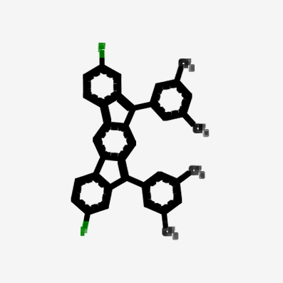 Fc1ccc2c(c1)C(c1cc(C(F)(F)F)cc(C(F)(F)F)c1)=c1cc3c(cc1-2)=c1ccc(F)cc1=C3c1cc(C(F)(F)F)cc(C(F)(F)F)c1